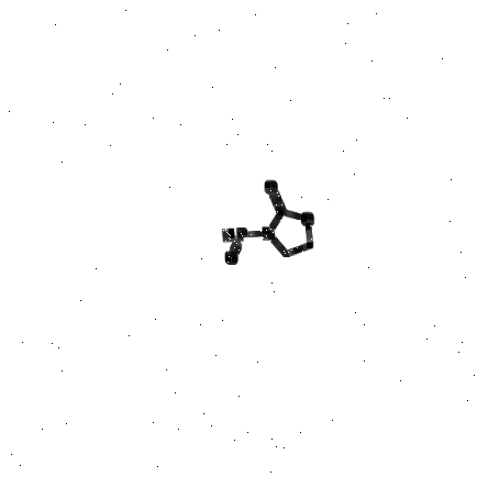 O=[PH2]N1CCOC1=O